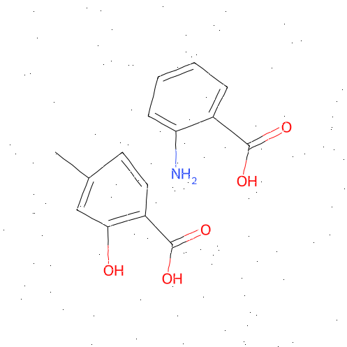 Cc1ccc(C(=O)O)c(O)c1.Nc1ccccc1C(=O)O